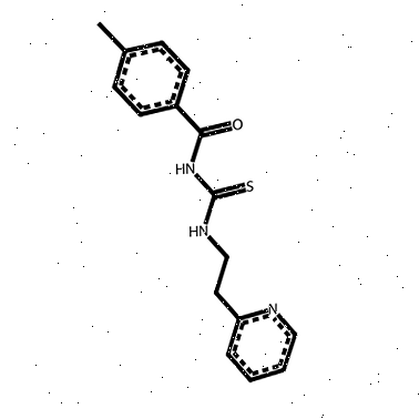 Cc1ccc(C(=O)NC(=S)NCCc2ccccn2)cc1